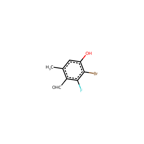 Cc1cc(O)c(Br)c(F)c1C=O